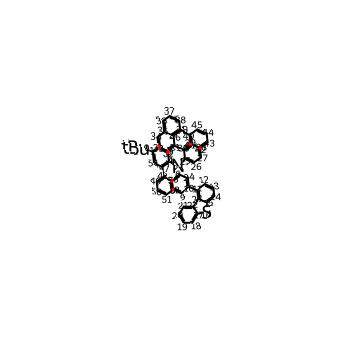 CC(C)(C)c1ccc(N(c2cccc(-c3cccc4sc5ccccc5c34)c2)c2ccccc2-c2cccc3cccc(-c4ccccc4)c23)c(-c2ccccc2)c1